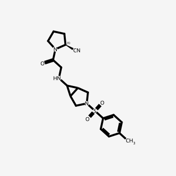 Cc1ccc(S(=O)(=O)N2CC3C(C2)C3NCC(=O)N2CCC[C@H]2C#N)cc1